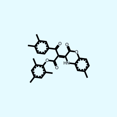 Cc1cc(C)c(OC(=O)C(C(=O)c2ccc(C)c(C)c2)=C2Nc3cc(C)ccc3OC2=O)c(C)c1